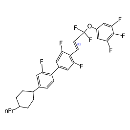 CCCC1CCC(c2ccc(-c3cc(F)c(/C=C/C(F)(F)Oc4cc(F)c(F)c(F)c4)c(F)c3)c(F)c2)CC1